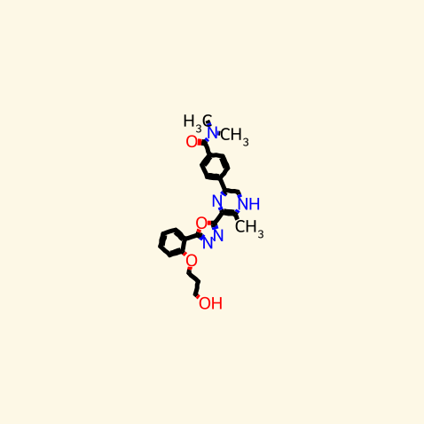 CC1=C(c2nnc(-c3ccccc3OCCCO)o2)N=C(c2ccc(C(=O)N(C)C)cc2)CN1